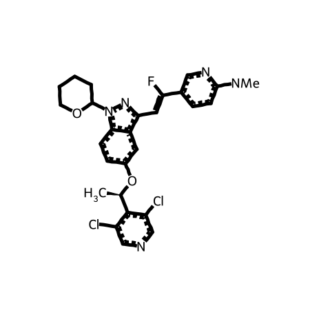 CNc1ccc(/C(F)=C/c2nn(C3CCCCO3)c3ccc(O[C@H](C)c4c(Cl)cncc4Cl)cc23)cn1